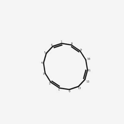 [CH]1C=CCCCC=CC=CCC=CC1